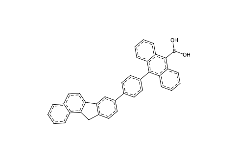 OB(O)c1c2ccccc2c(-c2ccc(-c3ccc4c(c3)-c3ccc5ccccc5c3C4)cc2)c2ccccc12